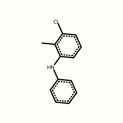 Cc1c(Cl)cccc1Nc1ccccc1